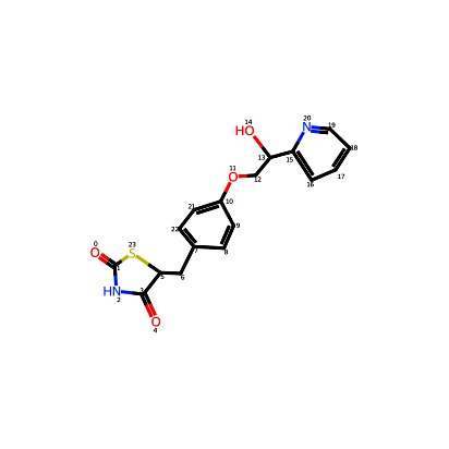 O=C1NC(=O)C(Cc2ccc(OCC(O)c3ccccn3)cc2)S1